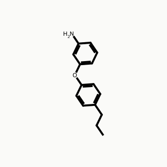 CCCc1ccc(Oc2cccc(N)c2)cc1